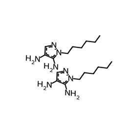 CCCCCCn1ncc(N)c1N.CCCCCCn1ncc(N)c1N